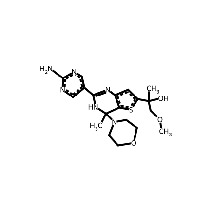 COCC(C)(O)c1cc2c(s1)C(C)(N1CCOCC1)NC(c1cnc(N)nc1)=N2